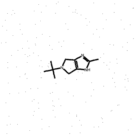 Cc1nc2c([nH]1)CN(C(C)(C)C)C2